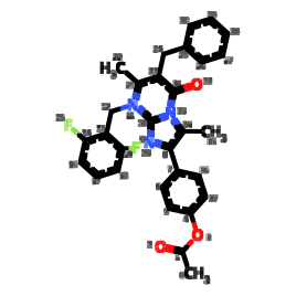 CC(=O)Oc1ccc(-c2nc3n(Cc4c(F)cccc4F)c(C)c(Cc4ccccc4)c(=O)n3c2C)cc1